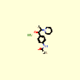 CC(=O)Nc1ccc(C(=O)C(C)N2CCCCC2)cc1.Cl